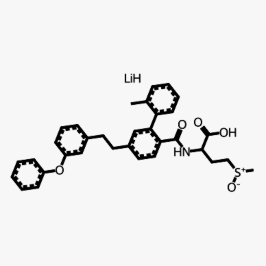 Cc1ccccc1-c1cc(CCc2cccc(Oc3ccccc3)c2)ccc1C(=O)NC(CC[S+](C)[O-])C(=O)O.[LiH]